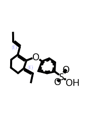 C/C=C/C1=C(Oc2ccc(S(=O)(=O)O)cc2)C(=C/C)/CCC1